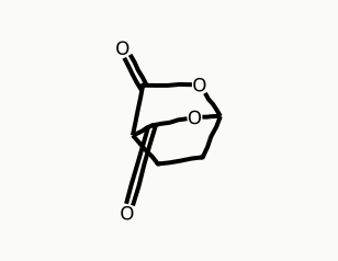 O=C1OC2CCC1C(=O)O2